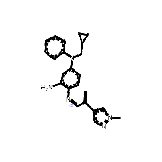 C=C(/C=N\c1ccc(N(CC2CC2)c2ccccc2)cc1N)c1cnn(C)c1